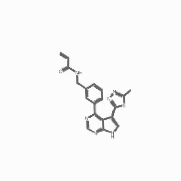 C=CC(=O)NCc1cccc(-c2ncnc3[nH]cc(-c4nnc(C)s4)c23)c1